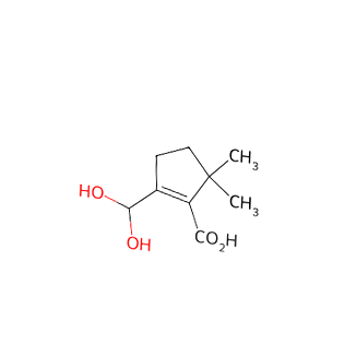 CC1(C)CCC(C(O)O)=C1C(=O)O